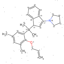 C=CCOc1c(C)cc(C)cc1[Si](C)(C)C1C=C(N2CCCC2)c2ccccc21